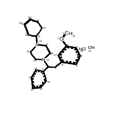 COc1cccc(CC(c2ccccc2)N2CCN(C3CCCCC3)CC2)c1.Cl.Cl